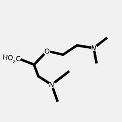 CN(C)CCOC(CN(C)C)C(=O)O